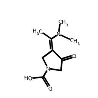 C/C(=C1\CN(C(=O)O)CC1=O)N(C)C